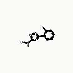 NNc1nc(-c2ccccc2Cl)n[nH]1